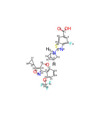 O=C(O)c1cc(F)c2nc(N3C[C@@H]4C[C@H]3C[C@H]4OCc3c(-c4ccccc4OC(F)(F)F)noc3C3CC3)sc2c1